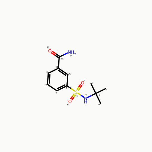 CC(C)(C)NS(=O)(=O)c1cccc(C(N)=O)c1